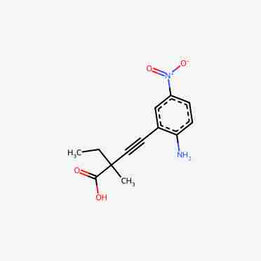 CCC(C)(C#Cc1cc([N+](=O)[O-])ccc1N)C(=O)O